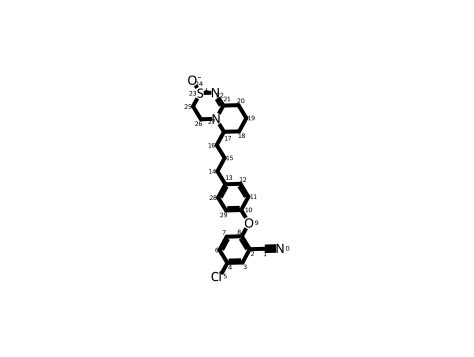 N#Cc1cc(Cl)ccc1Oc1ccc(CCCC2CCCC3=N[S+]([O-])CCN32)cc1